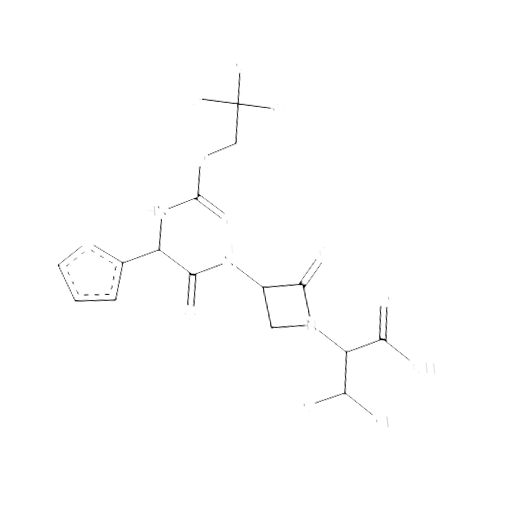 CC(C)C(C(=O)O)N1CC(NC(=O)C(NC(=O)OCC(Cl)(Cl)Cl)c2cccs2)C1=O